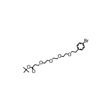 CC(C)(C)OC(=O)CCOCCOCCOCCOCCc1ccc(Br)cc1